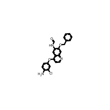 Nc1ccc(Oc2ccnc3cc(OCc4ccccc4)c(NC=O)cc23)cc1Cl